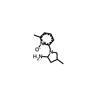 Cc1cccc(N2CC(C)CC2N)[n+]1[O-]